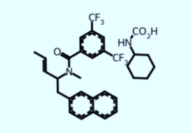 CC=CC(Cc1ccc2ccccc2c1)N(C)C(=O)c1cc(C(F)(F)F)cc(C(F)(F)F)c1.O=C(O)NC1CCCCC1